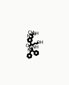 Cc1nc2ccc(-c3c(CCO)[nH]c4c(-c5ccccc5)c(-c5ccccc5)nn4c3=O)cc2cc1O